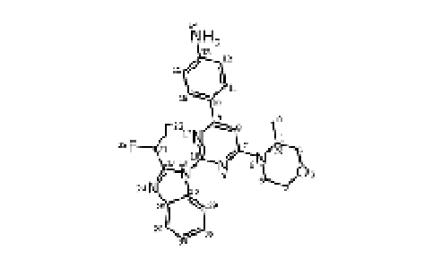 C[C@H]1COCCN1c1cc(-c2ccc(N)cc2)nc(-n2c(C(F)F)nc3ccccc32)n1